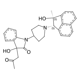 CC(=O)CC1(O)C(=O)N(C2CCN([C@H]3c4cccc5cccc(c45)[C@]3(C)O)CC2)c2ccccc21